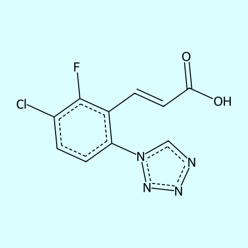 O=C(O)C=Cc1c(-n2cnnn2)ccc(Cl)c1F